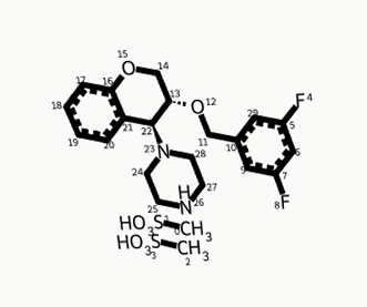 CS(=O)(=O)O.CS(=O)(=O)O.Fc1cc(F)cc(CO[C@H]2COc3ccccc3[C@@H]2N2CCNCC2)c1